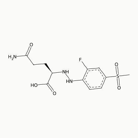 CS(=O)(=O)c1ccc(NN[C@H](CCC(N)=O)C(=O)O)c(F)c1